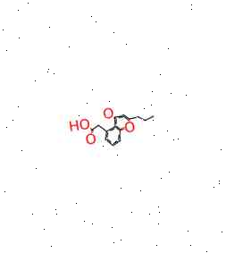 CCCc1cc(=O)c2c(CC(=O)O)cccc2o1